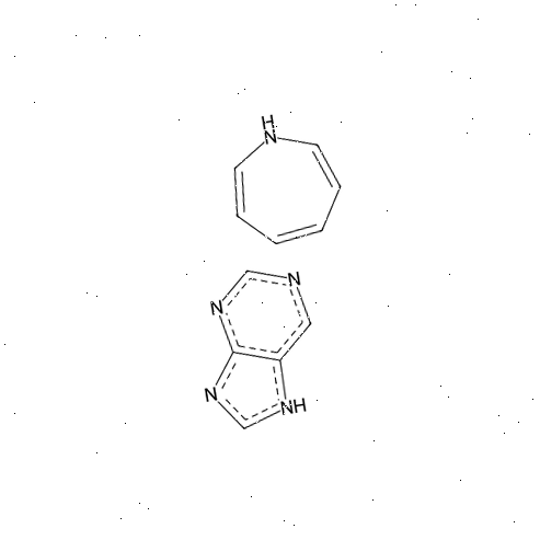 C1=CC=CNC=C1.c1ncc2[nH]cnc2n1